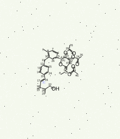 CS[C@H]1O[C@@H](c2ccc(C)c(Cc3ccc(/C=C/C(C)C(C)CO)cc3)c2)[C@H](OC(C)=O)[C@@H](OC(C)=O)[C@@H]1OC(C)=O